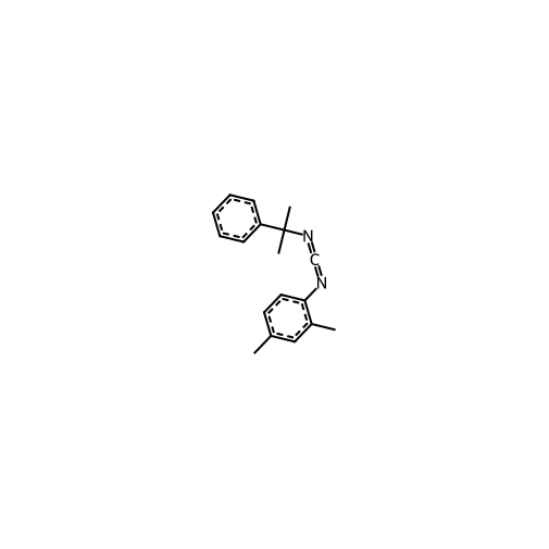 Cc1ccc(N=C=NC(C)(C)c2ccccc2)c(C)c1